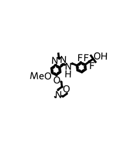 COc1cc2nc(C)nc(NCc3cccc(C(F)(F)C(C)(C)O)c3F)c2cc1OCC1CN(C)CCO1